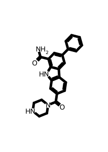 NC(=O)c1cc(-c2ccccc2)cc2c1[nH]c1cc(C(=O)N3CCNCC3)ccc12